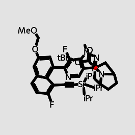 COCOc1cc(-c2ncc3c(N4C5CCC4CN(C(=O)OC(C)(C)C)C5)nn(C)c3c2F)c2c(C#C[Si](C(C)C)(C(C)C)C(C)C)c(F)ccc2c1